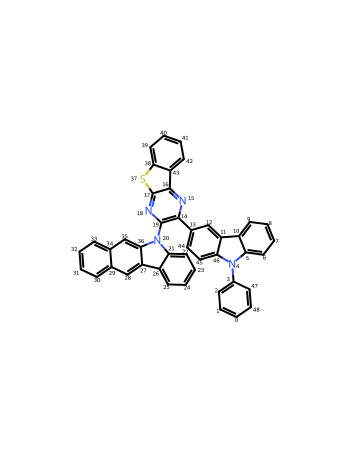 c1ccc(-n2c3ccccc3c3cc(-c4nc5c(nc4-n4c6ccccc6c6cc7ccccc7cc64)sc4ccccc45)ccc32)cc1